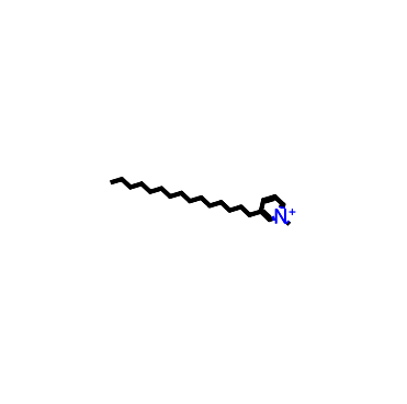 CCCCCCCCCCCCCCCc1ccc[n+](C)c1